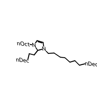 CCCCCCCCCCCCCCCCCN1C=CN(CCCCCCCC)C1CCCCCCCCCCCC